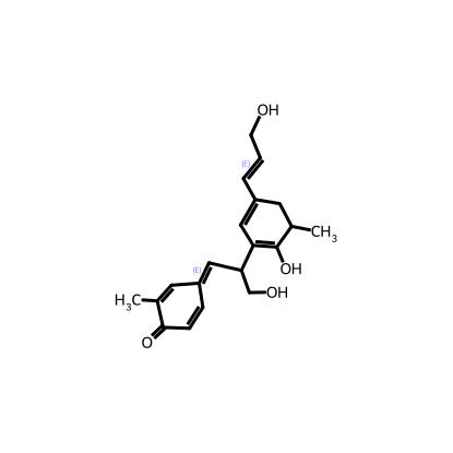 CC1=C/C(=C/C(CO)C2=C(O)C(C)CC(/C=C/CO)=C2)C=CC1=O